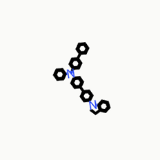 c1ccc(-c2ccc(N(c3ccccc3)c3ccc(-c4ccc(N5CCc6ccccc65)cc4)cc3)cc2)cc1